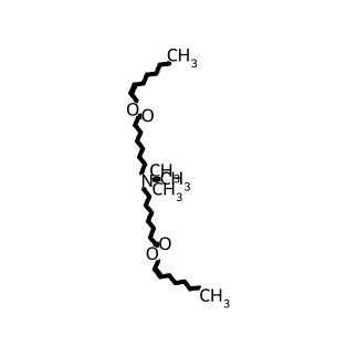 CCCCCC/C=C\COC(=O)CCCCCCCN(CCCCCCCC(=O)OC/C=C\CCCCCC)C(C)(C)C